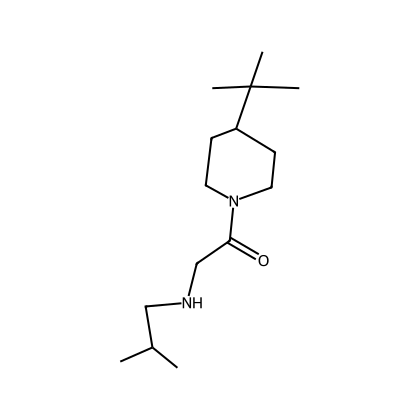 CC(C)CNCC(=O)N1CCC(C(C)(C)C)CC1